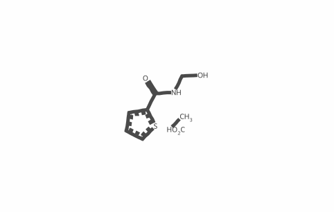 CC(=O)O.O=C(NCO)c1cccs1